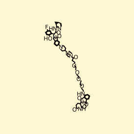 O=C1CCC(N2C(=O)c3cccc(NCCOCCOCCOCCOCCC(=O)N4CCN(C5CCN(c6ccc7c(c6)C(=O)N(C(C(=O)NC6=NC=CC8=CC86)c6cc(F)ccc6O)C7)CC5)CC4)c3C2=O)C(=O)N1